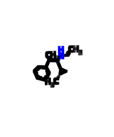 C=CN/C(=C(\C)c1ccccc1)C1C[C@@H]1C